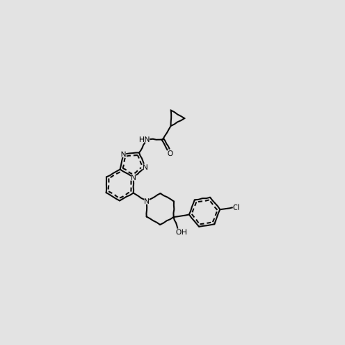 O=C(Nc1nc2cccc(N3CCC(O)(c4ccc(Cl)cc4)CC3)n2n1)C1CC1